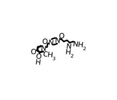 Cc1c(O)c(=O)ccn1CC(=O)N1CCN(C(=O)CCC(N)CN)CC1